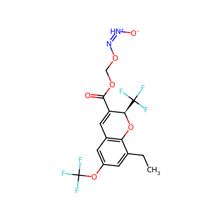 CCc1cc(OC(F)(F)F)cc2c1O[C@H](C(F)(F)F)C(C(=O)OCO/N=[NH+]\[O-])=C2